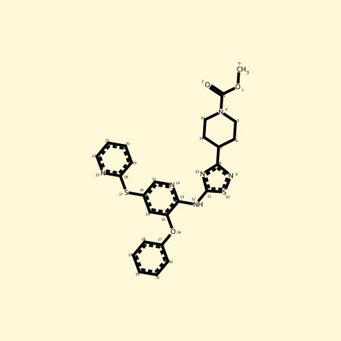 COC(=O)N1CCC(c2nsc(Nc3ncc(Sc4ccccn4)cc3Oc3ccccc3)n2)CC1